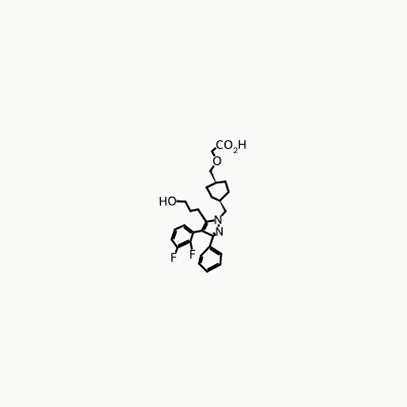 O=C(O)COC[C@H]1CC[C@@H](Cn2nc(-c3ccccc3)c(-c3cccc(F)c3F)c2CCCO)CC1